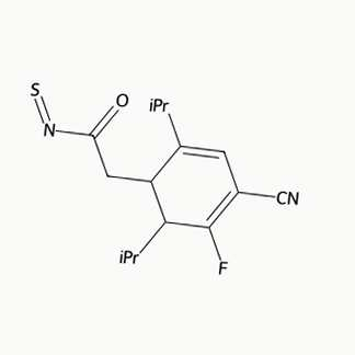 CC(C)C1=CC(C#N)=C(F)C(C(C)C)C1CC(=O)N=S